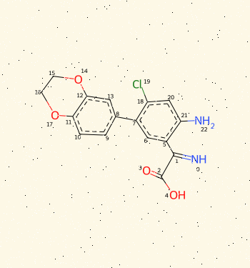 N=C(C(=O)O)c1cc(-c2ccc3c(c2)OCCO3)c(Cl)cc1N